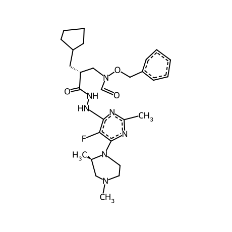 Cc1nc(NNC(=O)[C@H](CC2CCCC2)CN(C=O)OCc2ccccc2)c(F)c(N2CCN(C)C[C@H]2C)n1